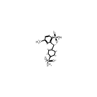 Cc1ccc(S(=O)(=O)O)c(CC2CCC(S(C)(=O)=O)CC2)c1